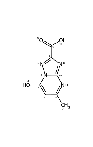 Cc1cc(O)n2nc(C(=O)O)nc2n1